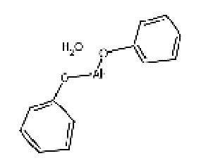 O.c1ccc([O][Al][O]c2ccccc2)cc1